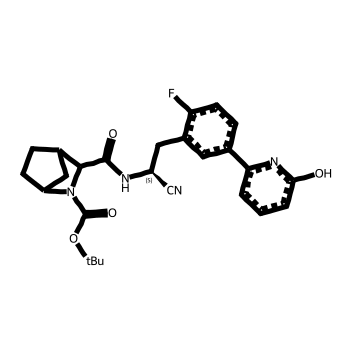 CC(C)(C)OC(=O)N1C2CCC(C2)C1C(=O)N[C@H](C#N)Cc1cc(-c2cccc(O)n2)ccc1F